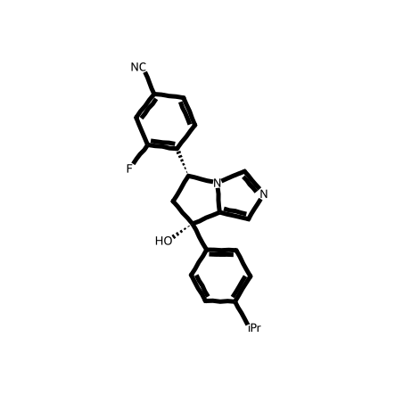 CC(C)c1ccc([C@@]2(O)C[C@H](c3ccc(C#N)cc3F)n3cncc32)cc1